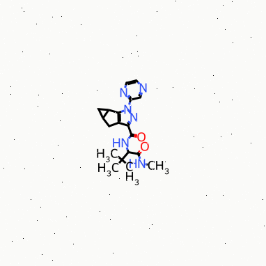 CNC(=O)C(NC(=O)c1nn(-c2cnccn2)c2c1CC1CC21)C(C)(C)C